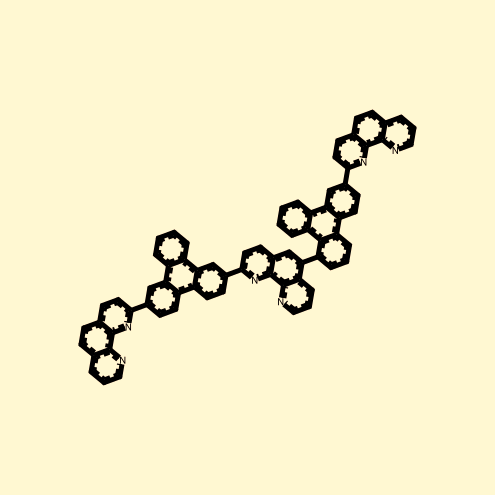 c1cnc2c(c1)ccc1ccc(-c3ccc4c5ccc(-c6ccc7cc(-c8cccc9c%10ccc(-c%11ccc%12ccc%13cccnc%13c%12n%11)cc%10c%10ccccc%10c89)c8cccnc8c7n6)cc5c5ccccc5c4c3)nc12